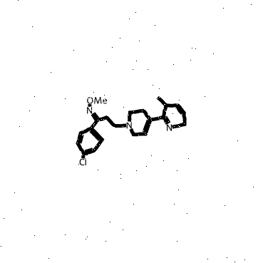 CO/N=C(\CCN1CC=C(C2=NCC=CC2C)CC1)c1ccc(Cl)cc1